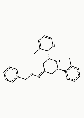 CC1=CC=CNC1[C@H]1CC(=NOCc2ccccc2)C[C@H](c2ncccc2C)N1